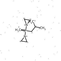 C=P(CC(C)C)(N1CC1)N1CC1